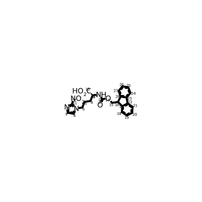 O=C(N[C@@H](CCCn1ccnc1[N+](=O)[O-])C(=O)O)OCC1c2ccccc2-c2ccccc21